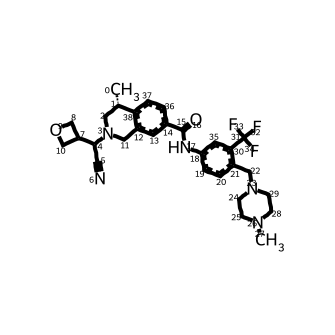 C[C@H]1CN(C(C#N)C2COC2)Cc2cc(C(=O)Nc3ccc(CN4CCN(C)CC4)c(C(F)(F)F)c3)ccc21